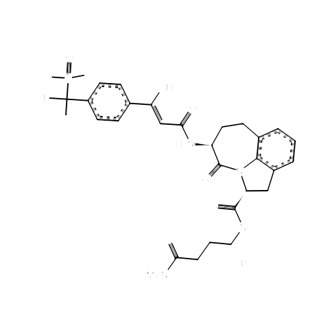 CNC(=O)CC[C@H](NC(=O)[C@@H]1Cc2cccc3c2N1C(=O)[C@@H](NC(=O)/C=C(\C)c1ccc(C(F)(F)P(=O)(O)O)cc1)CC3)C(C)C